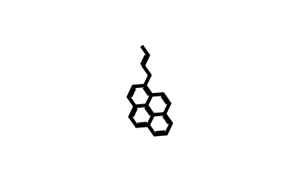 C/C=C/Cc1ccc2ccc3cccc4ccc1c2c34